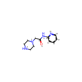 O=C(CN1CCNCC1)Nc1ccccn1